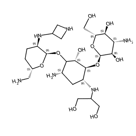 NC[C@@H]1CC[C@@H](NC2CNC2)[C@@H](OC2[C@@H](N)C[C@@H](NC(CO)CO)[C@H](O[C@H]3O[C@H](CO)[C@@H](O)[C@H](N)[C@H]3O)[C@H]2O)O1